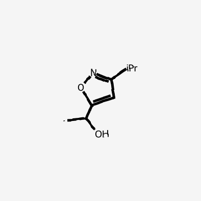 [CH2]C(O)c1cc(C(C)C)no1